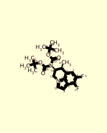 C[C@H]1c2cc(F)c(F)c3ccn(c23)C[C@H]1N(C(=O)OC(C)(C)C)C(=O)OC(C)(C)C